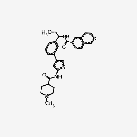 CCC(NC(=O)c1ccc2cnccc2c1)c1cccc(-c2csc(NC(=O)C3CCN(C)CC3)c2)c1